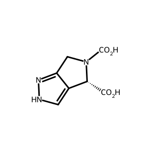 O=C(O)[C@@H]1c2c[nH]nc2CN1C(=O)O